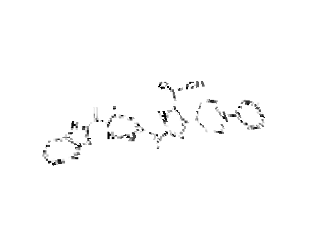 Cc1cc(N(C)c2nc(C(=O)O)c(C3CCN(c4ccccc4)CC3)s2)nnc1Nc1nc2ccccc2s1